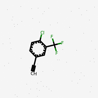 C#Cc1ccc(Cl)c(C(F)(F)F)c1